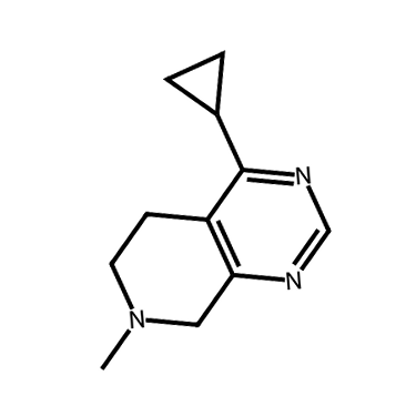 CN1CCc2c(ncnc2C2CC2)C1